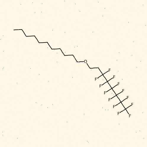 CCCCCCCCCC[CH]OCCC(F)(F)C(F)(F)C(F)(F)C(F)(F)C(F)(F)C(F)(F)F